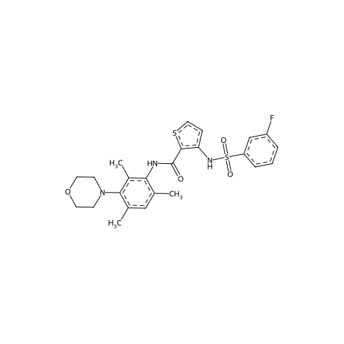 Cc1cc(C)c(N2CCOCC2)c(C)c1NC(=O)c1sccc1NS(=O)(=O)c1cccc(F)c1